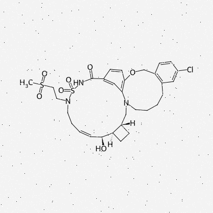 CS(=O)(=O)CCN1CC/C=C\[C@H](O)[C@@H]2CC[C@H]2CN2CCCCc3cc(Cl)ccc3COc3ccc(cc32)C(=O)NS1(=O)=O